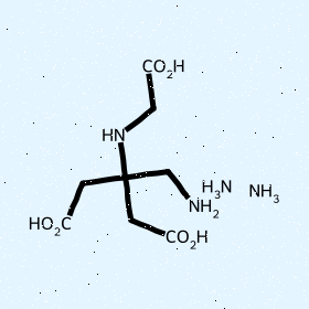 N.N.NCC(CC(=O)O)(CC(=O)O)NCC(=O)O